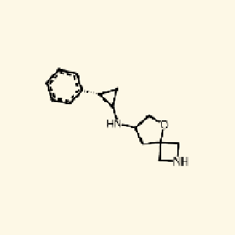 c1ccc([C@@H]2CC2NC2COC3(CNC3)C2)cc1